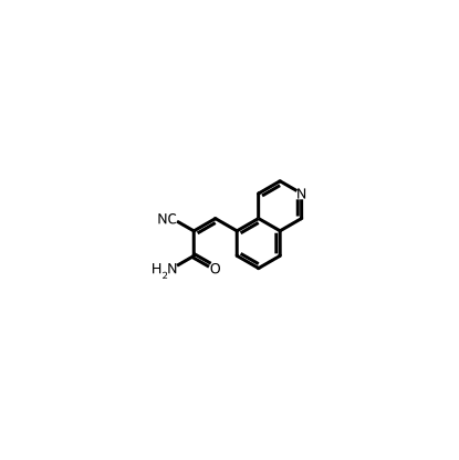 N#CC(=Cc1cccc2cnccc12)C(N)=O